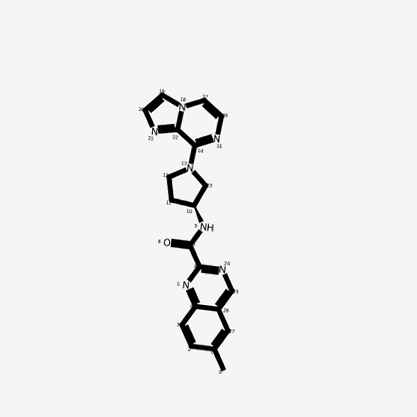 Cc1ccc2nc(C(=O)N[C@H]3CCN(c4nccn5ccnc45)C3)ncc2c1